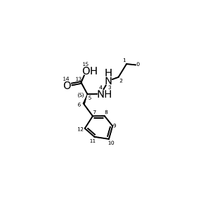 CCCNN[C@@H](Cc1ccccc1)C(=O)O